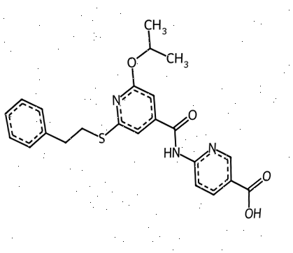 CC(C)Oc1cc(C(=O)Nc2ccc(C(=O)O)cn2)cc(SCCc2ccccc2)n1